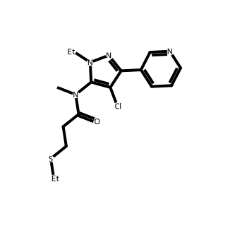 CCSCCC(=O)N(C)c1c(Cl)c(-c2cccnc2)nn1CC